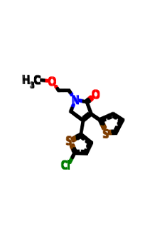 COCCN1CC(c2ccc(Cl)s2)=C(c2cccs2)C1=O